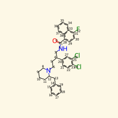 O=C(NCC(CCN1CCCCC1Cc1ccccc1)c1ccc(Cl)c(Cl)c1)c1ccc(F)c2ccccc12